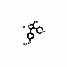 Br.COc1ccc(-c2snc(O)c2C2CCNCC2)cc1